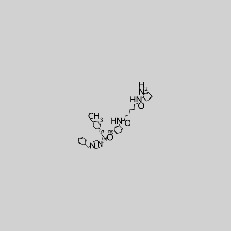 CCc1ccc([C@H]2C[C@@H](CN3CCN(Cc4ccccc4)CC3)O[C@@H](c3cccc(NC(=O)CCCCCC(=O)Nc4ccccc4N)c3)C2)cc1